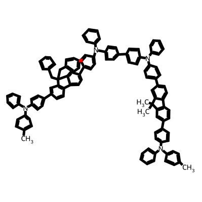 Cc1ccc(N(c2ccccc2)c2ccc(-c3ccc4c(c3)C(C)(C)c3cc(-c5ccc(N(c6ccccc6)c6ccc(-c7ccc(N(c8ccccc8)c8ccc(-c9ccc%10c(c9)C(Cc9ccccc9)(Cc9ccccc9)c9cc(-c%11ccc(N(c%12ccccc%12)c%12ccc(C)cc%12)cc%11)ccc9-%10)cc8)cc7)cc6)cc5)ccc3-4)cc2)cc1